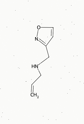 C=CCNCc1ccon1